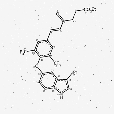 CCOC(=O)CCC(=O)C=Cc1cc(C(F)(F)F)c(Oc2ccc3[nH]cc(C(C)C)c3c2)c(C(F)(F)F)c1